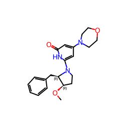 CO[C@@H]1CCN(c2cc(N3CCOCC3)cc(=O)[nH]2)[C@@H]1Cc1ccccc1